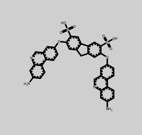 Nc1ccc2c(c1)ncc1cc(Oc3cc4c(cc3S(=O)(=O)O)-c3cc(S(=O)(=O)O)c(Oc5ccc6c(cnc7cc(N)ccc76)c5)cc3C4)ccc12